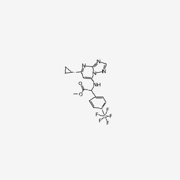 COC(=O)C(Nc1cc(C2CC2)nc2ncnn12)c1ccc(S(F)(F)(F)(F)F)cc1